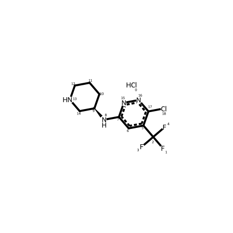 Cl.FC(F)(F)c1cc(N[C@@H]2CCCNC2)nnc1Cl